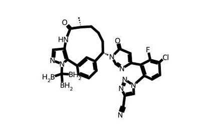 BC(B)(B)n1ncc2c1-c1cccc(c1)[C@@H](n1cnc(-c3c(-n4cc(C#N)nn4)ccc(Cl)c3F)cc1=O)CCC[C@@H](C)C(=O)N2